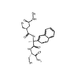 CC(C)C[C@@H](CC(=O)NO)C(=O)N[C@](C)(C(=O)N[C@@H](CC(C)C)C(N)=O)c1ccc2ccccc2c1